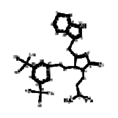 CN(C)CCN1C(=O)N=C(Cc2c[nH]c3ccccc23)C1CCc1cc(C(F)(F)F)cc(C(F)(F)F)c1